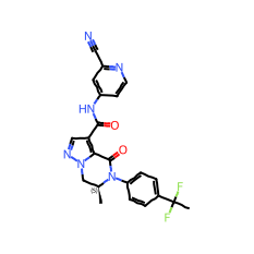 C[C@H]1Cn2ncc(C(=O)Nc3ccnc(C#N)c3)c2C(=O)N1c1ccc(C(C)(F)F)cc1